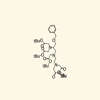 CC(C)(C)OC(=O)CN(CCN(CC(=O)OC(C)(C)C)CC(COCc1ccccc1)N(CC(=O)OC(C)(C)C)CC(=O)OC(C)(C)C)CC(=O)OC(C)(C)C